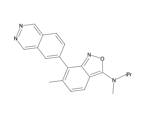 Cc1ccc2c(N(C)C(C)C)onc2c1-c1ccc2cnncc2c1